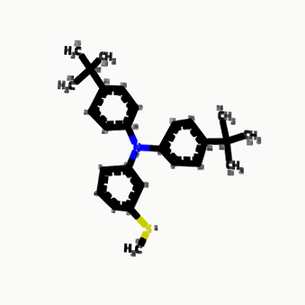 CSc1cccc(N(c2ccc(C(C)(C)C)cc2)c2ccc(C(C)(C)C)cc2)c1